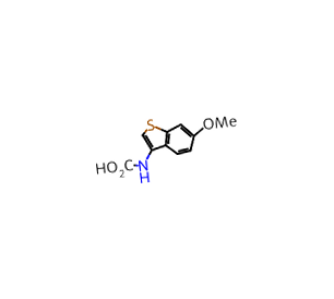 COc1ccc2c(NC(=O)O)csc2c1